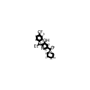 CCN(c1ccc(C(F)(F)F)cc1)c1ncc(C(=O)N2CCCCC2)cc1O